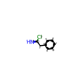 N=C(Cl)Cc1ccccc1